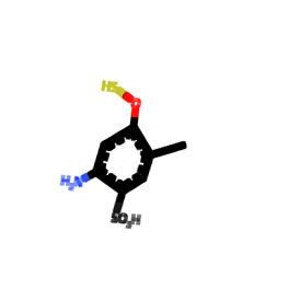 Cc1cc(S(=O)(=O)O)c(N)cc1OS